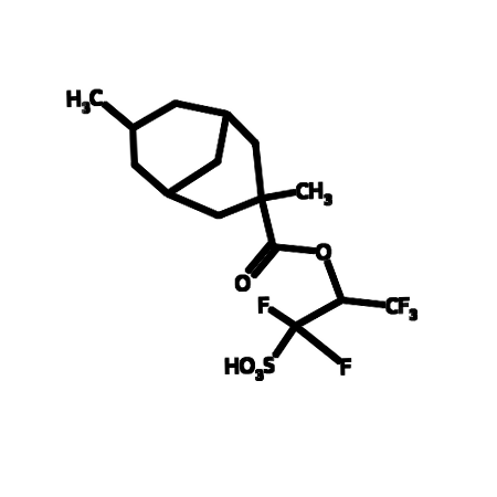 CC1CC2CC(C1)CC(C)(C(=O)OC(C(F)(F)F)C(F)(F)S(=O)(=O)O)C2